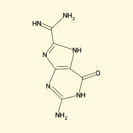 N=C(N)c1nc2nc(N)[nH]c(=O)c2[nH]1